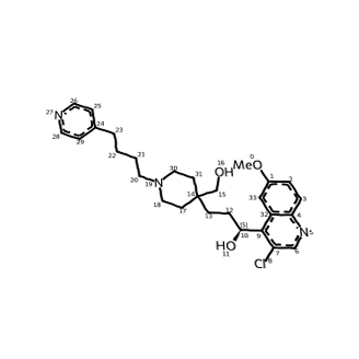 COc1ccc2ncc(Cl)c([C@@H](O)CCC3(CO)CCN(CCCCc4ccncc4)CC3)c2c1